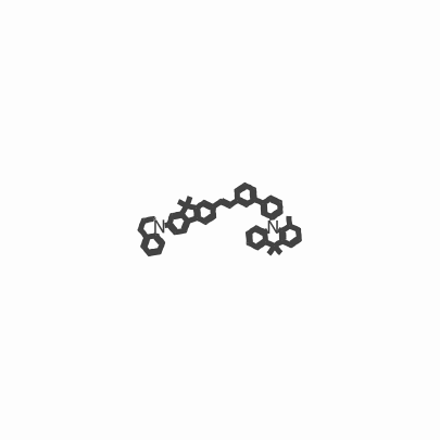 CC1CC=CC2=C1N(c1cccc(-c3cccc(/C=C/c4ccc5c(c4)C(C)(C)c4cc(N6CCCc7ccccc76)ccc4-5)c3)c1)c1ccccc1C2(C)C